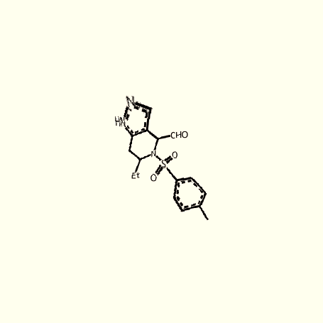 CCC1Cc2[nH]ncc2C(C=O)N1S(=O)(=O)c1ccc(C)cc1